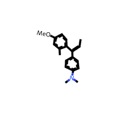 CC=C(c1ccc(N(C)C)cc1)c1ccc(OC)cc1C